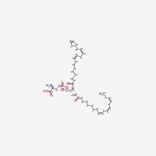 CC/C=C\C/C=C\C/C=C\CCCCCCCC(=O)OC[C@H](COP(=O)(O)OC[C@H](N)C(=O)O)OC(=O)CCCCCCC/C=C\C/C=C\CCCC